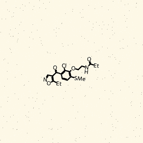 CCC(=O)NCCOc1c(SC)ccc(C(=O)c2cnoc2CC)c1Cl